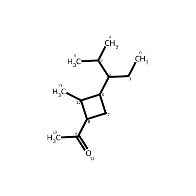 CCC(C(C)C)C1CC(C(C)=O)C1C